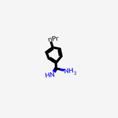 CCCc1ccc(C(=N)N)cc1